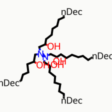 CCCCCCCCCCCCCCCCC(O)CN(CC(O)CCCCCCCCCCCCCC)N(CC(O)CCCCCCCCCCCCCCCC)CC(O)CCCCCCCCCCCCCCCC